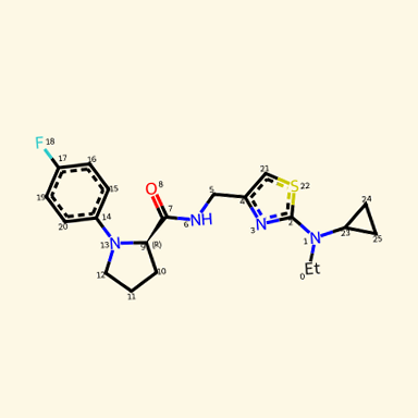 CCN(c1nc(CNC(=O)[C@H]2CCCN2c2ccc(F)cc2)cs1)C1CC1